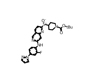 CC(C)(C)OC(=O)N1CCC([S+]([O-])c2ccc3cnc(Nc4ccc(-n5cccn5)cc4F)cc3n2)CC1